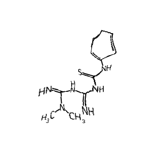 CN(C)C(=N)NC(=N)NC(=S)NC1=CCCC=C1